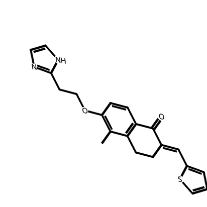 Cc1c(OCCc2ncc[nH]2)ccc2c1CC/C(=C\c1cccs1)C2=O